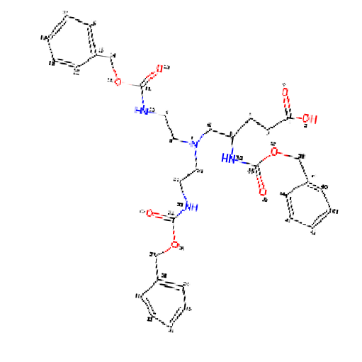 O=C(O)CCC(CN(CCNC(=O)OCc1ccccc1)CCNC(=O)OCc1ccccc1)NC(=O)OCc1ccccc1